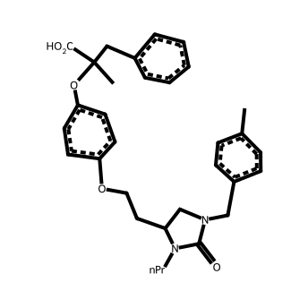 CCCN1C(=O)N(Cc2ccc(C)cc2)CC1CCOc1ccc(OC(C)(Cc2ccccc2)C(=O)O)cc1